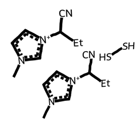 CCC(C#N)[n+]1ccn(C)c1.CCC(C#N)[n+]1ccn(C)c1.SS